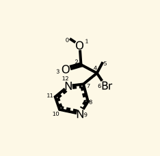 COC(=O)C(C)(Br)c1cnccn1